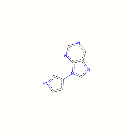 c1ncc2ncn(-c3cc[nH]c3)c2n1